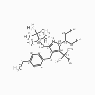 CCc1ccc(Cc2c(O[Si](C)(C)C(C)(C)C)nn(C(CF)CF)c2C(F)(F)F)cc1